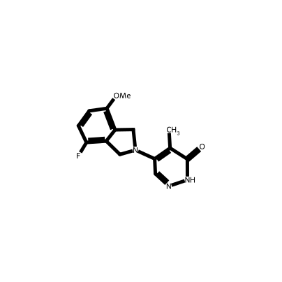 COc1ccc(F)c2c1CN(c1cn[nH]c(=O)c1C)C2